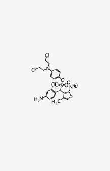 Cc1csc([N+](=O)[O-])c1C(c1ccc(N)cc1Cl)S(=O)(=O)Oc1ccc(N(CCCl)CCCl)cc1